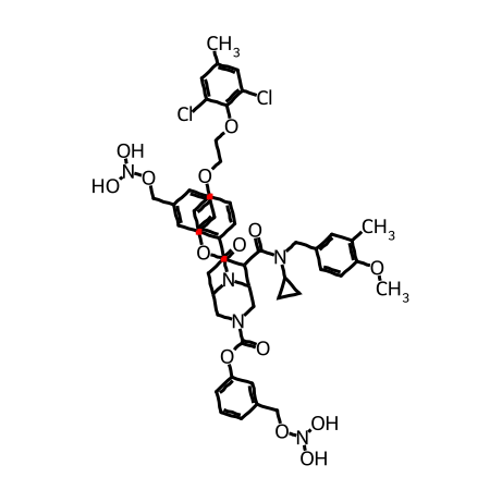 COc1ccc(CN(C(=O)C2C(c3ccc(OCCOc4c(Cl)cc(C)cc4Cl)cc3)CC3CN(C(=O)Oc4cccc(CON(O)O)c4)CC2N3C(=O)Oc2cccc(CON(O)O)c2)C2CC2)cc1C